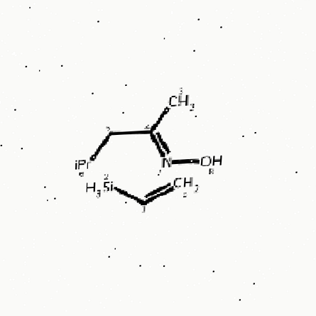 C=C[SiH3].CC(CC(C)C)=NO